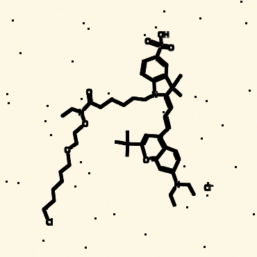 CCN(OCCOCCCCCCCl)C(=O)CCCCCN1C(=CC=Cc2cc(C(C)(C)C)[o+]c3cc(N(CC)CC)ccc23)C(C)(C)c2cc(S(=O)(=O)O)ccc21.[Cl-]